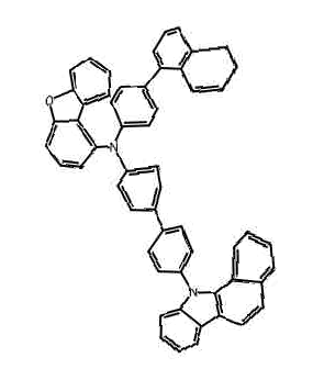 C1=Cc2c(cccc2-c2ccc(N(c3ccc(-c4ccc(-n5c6ccccc6c6ccc7ccccc7c65)cc4)cc3)c3cccc4oc5ccccc5c34)cc2)CC1